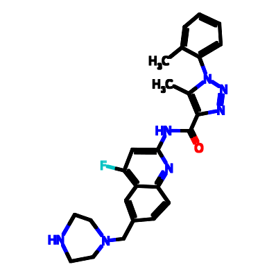 Cc1ccccc1-n1nnc(C(=O)Nc2cc(F)c3cc(CN4CCNCC4)ccc3n2)c1C